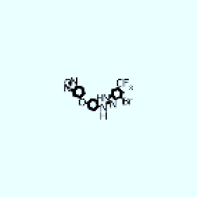 FC(F)(F)c1cc(Br)c2nc(Nc3ccc(Oc4ccc5nonc5c4)cc3)[nH]c2c1